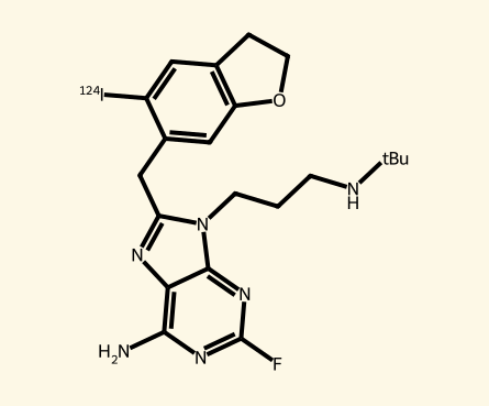 CC(C)(C)NCCCn1c(Cc2cc3c(cc2[124I])CCO3)nc2c(N)nc(F)nc21